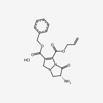 C=CCOC(=O)C1=C(C(=O)OCc2ccccc2)CN2C[C@@H](N)C(=O)N12.Cl